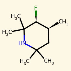 C[C@H]1CC(C)(C)NC(C)(C)[C@H]1F